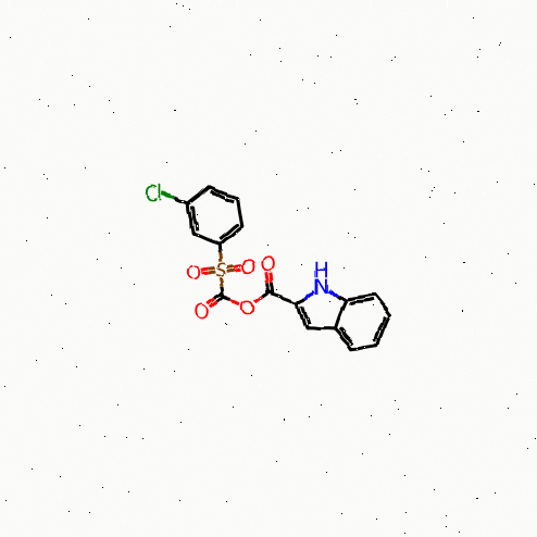 O=C(OC(=O)S(=O)(=O)c1cccc(Cl)c1)c1cc2ccccc2[nH]1